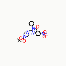 CC(C)(C)OC(=O)N1CCN(Cc2nc3ccc([N+](=O)[O-])cc3c(=O)n2-c2ccccc2)CC1